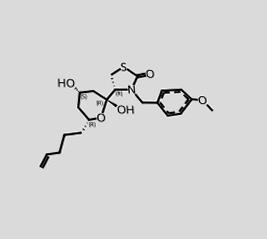 C=CCCC[C@@H]1C[C@H](O)C[C@](O)([C@@H]2CSC(=O)N2Cc2ccc(OC)cc2)O1